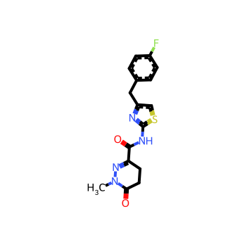 CN1N=C(C(=O)Nc2nc(Cc3ccc(F)cc3)cs2)CCC1=O